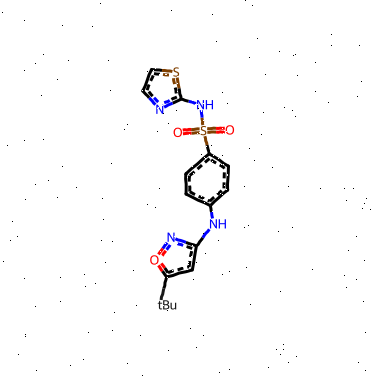 CC(C)(C)c1cc(Nc2ccc(S(=O)(=O)Nc3nccs3)cc2)no1